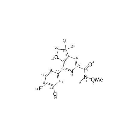 CON(C)C(=O)c1cc2c(c(-c3ccc(F)c(Cl)c3)n1)OCC2(C)C